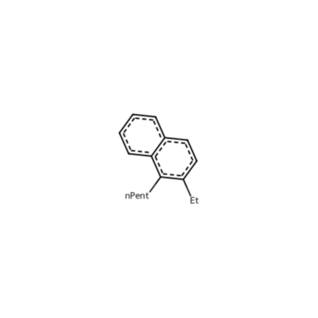 CCCCCc1c(CC)ccc2ccccc12